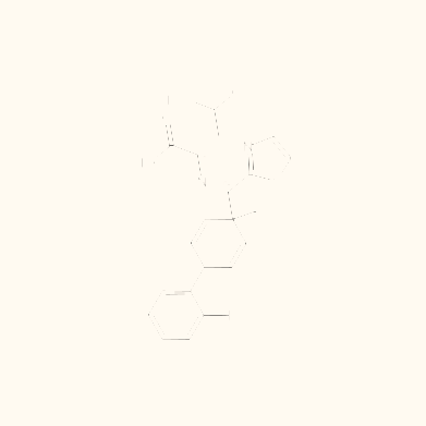 CC(C)C[C@H](N[C@H](c1nccs1)C1(F)C=CC(c2ccccc2F)C=C1)C(=O)O